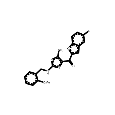 COc1ccccc1CNc1nc(N)c(C(=O)c2cc3cc(Cl)ccc3o2)s1